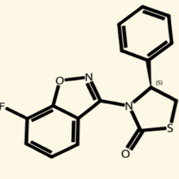 O=C1SC[C@H](c2ccccc2)N1c1noc2c(F)cccc12